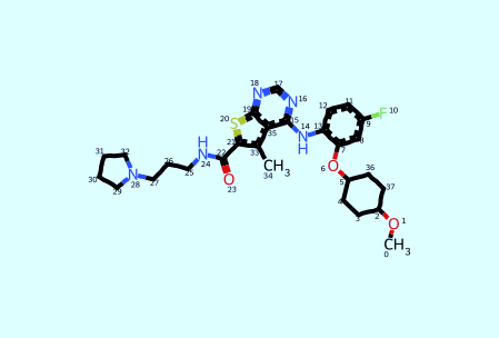 COC1CCC(Oc2cc(F)ccc2Nc2ncnc3sc(C(=O)NCCCN4CCCC4)c(C)c23)CC1